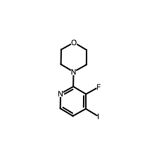 Fc1c(I)ccnc1N1CCOCC1